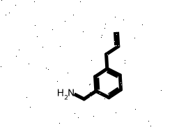 C=CCc1cccc(CN)c1